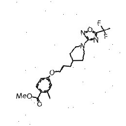 COC(=O)c1ccc(OCCCC2CCN(c3noc(C(C)(F)F)n3)CC2)cc1C